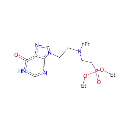 CCCN(CCn1cnc2c(=O)[nH]cnc21)CCP(=O)(OCC)OCC